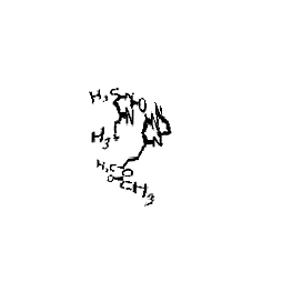 CC(=O)OC(C)CCc1cc(Oc2nc(C)cc(C)n2)n2nccc2n1